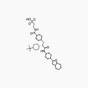 CC(C)(C)[C@H]1CC[C@H](C(Cc2ccc(C(=O)NCCS(=O)(=O)O)cc2)C(=O)Nc2ccc(-c3cc4ccccc4o3)cc2)CC1